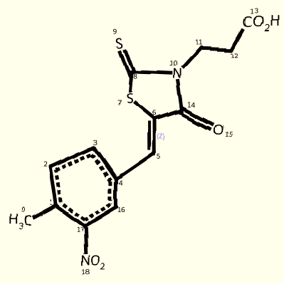 Cc1ccc(/C=C2\SC(=S)N(CCC(=O)O)C2=O)cc1[N+](=O)[O-]